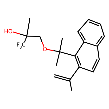 C=C(C)c1ccc2ccccc2c1C(C)(C)OCC(C)(O)C(F)(F)F